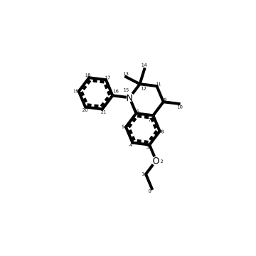 CCOc1ccc2c(c1)C(C)CC(C)(C)N2c1ccccc1